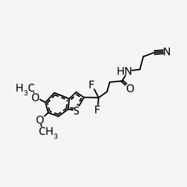 COc1cc2cc(C(F)(F)CCC(=O)NCCC#N)sc2cc1OC